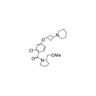 COCC1CCCN1C(=O)c1ccc(OC2CC(N3CCCCC3)C2)cc1Cl